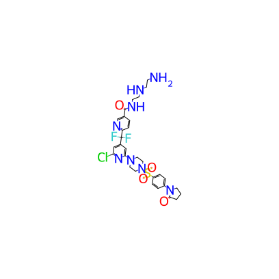 NCCNCCNC(=O)c1ccc(C(F)(F)c2cc(Cl)nc(N3CCN(S(=O)(=O)c4ccc(N5CCCC5=O)cc4)CC3)c2)nc1